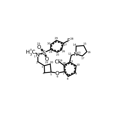 CN(CC1CC(Oc2cccc(CN3CCCC3)c2Cl)C1)S(=O)(=O)c1ccc(F)cc1